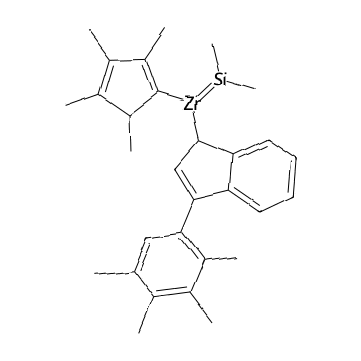 CC1=C(C)C(C)[C]([Zr]([CH]2C=C(c3cc(C)c(C)c(C)c3C)c3ccccc32)=[Si](C)C)=C1C